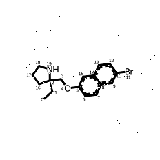 CC[C@@]1(COc2ccc3cc(Br)ccc3c2)CCCN1